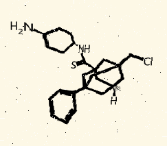 N[C@H]1CC[C@H](NC(=S)C23C[C@@H]4CC(CCl)(C2)CC(c2ccccc2)(C4)C3)CC1